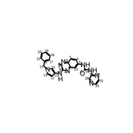 O=C(Nc1ccc2nnc(Nc3ccn(Cc4ccccc4)c3)nc2c1)Nc1cnccn1